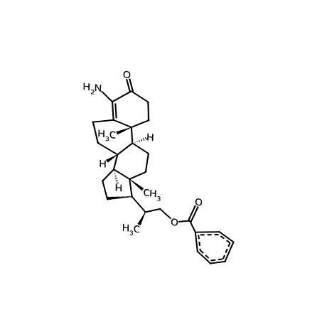 C[C@H](COC(=O)c1ccccc1)[C@H]1CC[C@H]2[C@@H]3CCC4=C(N)C(=O)CC[C@]4(C)[C@H]3CC[C@]12C